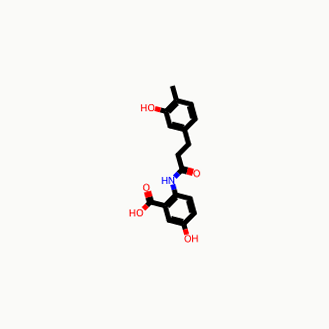 Cc1ccc(CCC(=O)Nc2ccc(O)cc2C(=O)O)cc1O